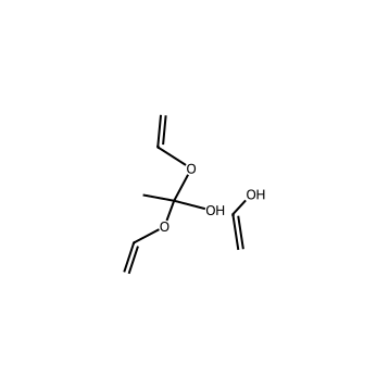 C=CO.C=COC(C)(O)OC=C